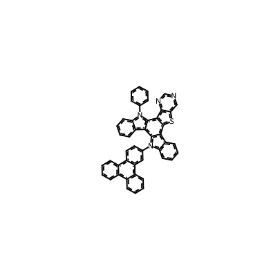 c1ccc(-n2c3ccccc3c3c4c(c5ccccc5n4-c4ccc5c6ccccc6c6ccccc6c5c4)c4sc5cncnc5c4c32)cc1